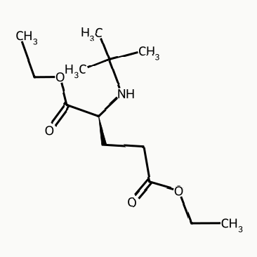 CCOC(=O)CC[C@H](NC(C)(C)C)C(=O)OCC